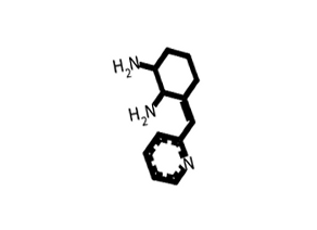 NC1CCCC(=Cc2ccccn2)C1N